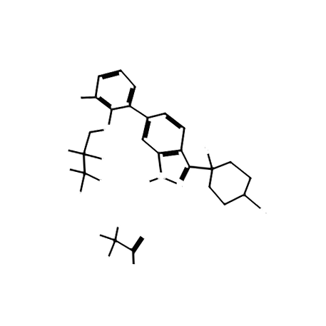 Cn1nc(C2(N)CCC(N)CC2)c2ccc(-c3cccc(F)c3OCC(F)(F)C(F)(F)F)cc21.O=C(O)C(F)(F)F